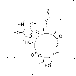 C#CCNCC[C@H]1C[C@@H](C)C(=O)/C=C/C(C)=C/[C@H](CO)[C@@H](CC)OC(=O)C[C@@H](O)[C@H](C)[C@H]1O[C@@H]1O[C@H](C)[C@@H](O)C(N(C)C)C1O